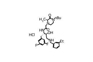 CCCCN1CCN(CC(=O)N[C@@H](Cc2cc(F)cc(F)c2)[C@@H](O)CNCc2cccc(CC)c2)[C@@H](C)C1=O.Cl